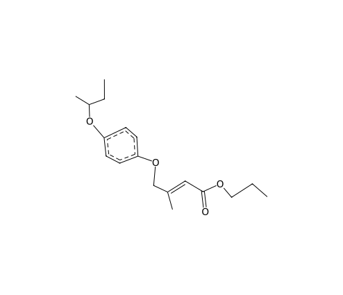 CCCOC(=O)C=C(C)COc1ccc(OC(C)CC)cc1